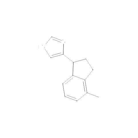 Cc1cccc2c1CCC2c1c[nH]cn1